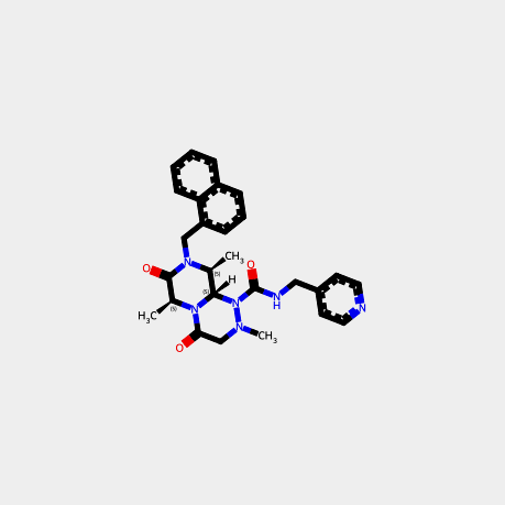 C[C@H]1[C@H]2N(C(=O)CN(C)N2C(=O)NCc2ccncc2)[C@@H](C)C(=O)N1Cc1cccc2ccccc12